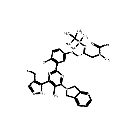 Cc1c(-c2[nH]ncc2CCl)nc(-c2cc(OC[C@@H](CN(C)C(=O)O)O[Si](C)(C)C(C)(C)C)ccc2Cl)nc1N1Cc2cccnc2C1